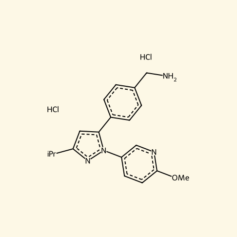 COc1ccc(-n2nc(C(C)C)cc2-c2ccc(CN)cc2)cn1.Cl.Cl